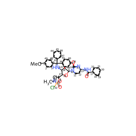 COc1ccc(C(NC2CC(n3ccc(NC(=O)c4ccccc4)nc3=O)OC2COP(=O)(Cl)N(C)C)(c2ccccc2)c2ccccc2)cc1